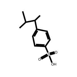 CC(C)C(C)c1ccc(S(=O)(=O)O)cc1